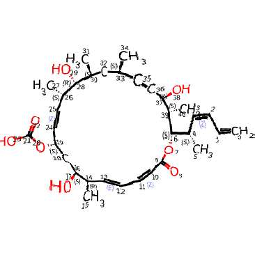 C=C/C=C\[C@H](C)[C@@H]1OC(=O)/C=C\C=C\[C@@H](C)[C@@H](O)C[C@H](OC(=O)O)/C=C\[C@H](C)[C@H](O)[C@@H](C)C[C@@H](C)CC[C@@H](O)[C@@H]1C